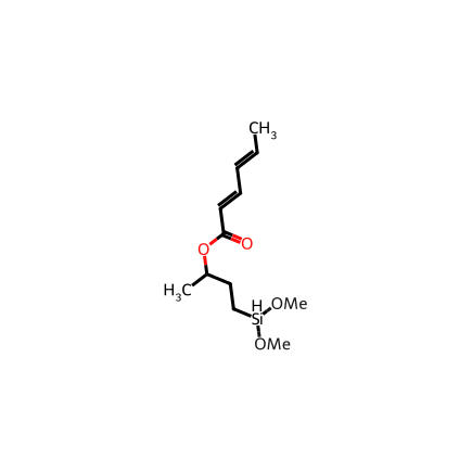 C/C=C/C=C/C(=O)OC(C)CC[SiH](OC)OC